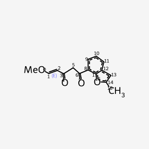 CO/C=C/C(=O)CC(=O)c1cccc2cc(C)oc12